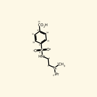 CC(C)N(C)CCNS(=O)(=O)c1ccc(C(=O)O)cc1